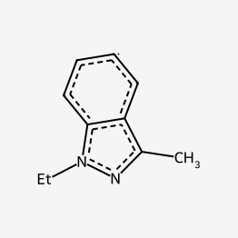 CCn1nc(C)c2c[c]ccc21